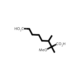 COC(C)(C(=O)O)C(C)CCCCC(=O)O